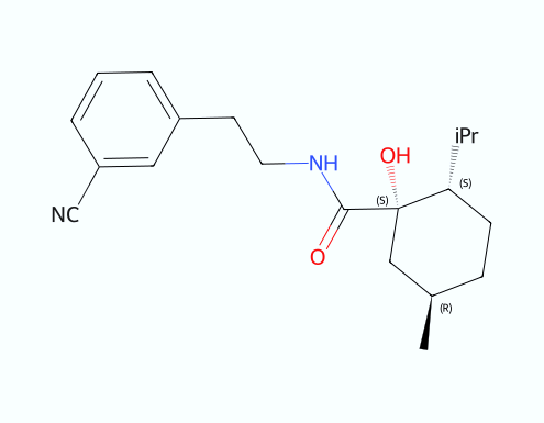 CC(C)[C@@H]1CC[C@@H](C)C[C@@]1(O)C(=O)NCCc1cccc(C#N)c1